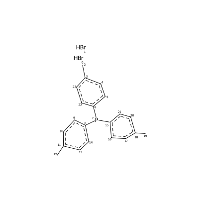 Br.Br.Cc1ccc(P(c2ccc(C)cc2)c2ccc(C)cc2)cc1